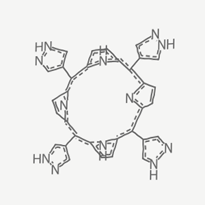 C1=Cc2nc1c(-c1cn[nH]c1)c1ccc([nH]1)c(-c1cn[nH]c1)c1nc(c(-c3cn[nH]c3)c3ccc([nH]3)c2-c2cn[nH]c2)C=C1